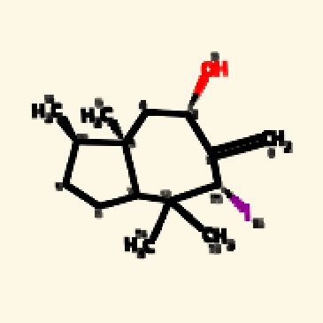 C=C1[C@@H](O)C[C@@]2(C)C(CC[C@H]2C)C(C)(C)[C@H]1I